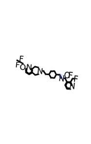 CC(F)(F)COc1ccc2c(n1)CCN(CCC1CCC(/C=N/C(=O)c3cccnc3C(F)F)CC1)CC2